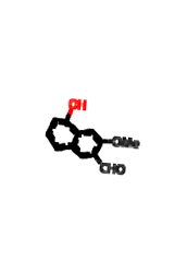 COc1cc2c(O)cccc2cc1C=O